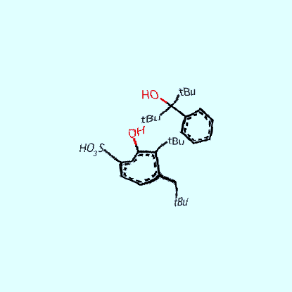 CC(C)(C)C(O)(c1ccccc1)C(C)(C)C.CC(C)(C)Cc1ccc(S(=O)(=O)O)c(O)c1C(C)(C)C